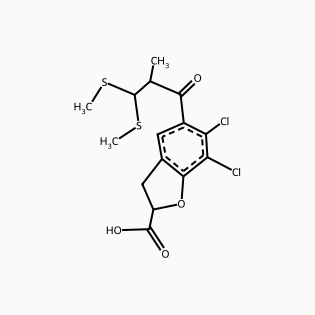 CSC(SC)C(C)C(=O)c1cc2c(c(Cl)c1Cl)OC(C(=O)O)C2